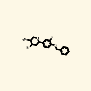 CCCC1COC(c2ccc(OCc3ccccc3)c(F)c2)CC1Br